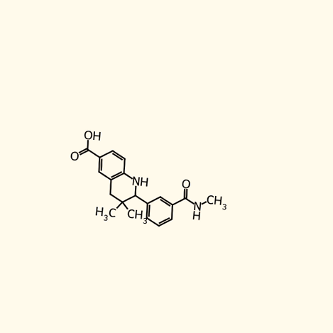 CNC(=O)c1cccc(C2Nc3ccc(C(=O)O)cc3CC2(C)C)c1